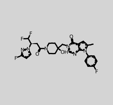 Cc1cc2c(=O)n(CC3(O)CCN(C(=O)C[C@H](C(F)F)n4ccc(F)n4)CC3)cnc2n1-c1ccc(F)cc1